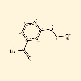 CC(C)(C)C(=O)c1ccnc(OCC(F)(F)F)c1